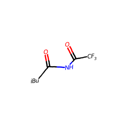 CCC(C)C(=O)NC(=O)C(F)(F)F